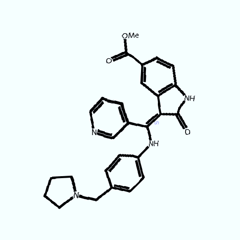 COC(=O)c1ccc2c(c1)/C(=C(/Nc1ccc(CN3CCCC3)cc1)c1cccnc1)C(=O)N2